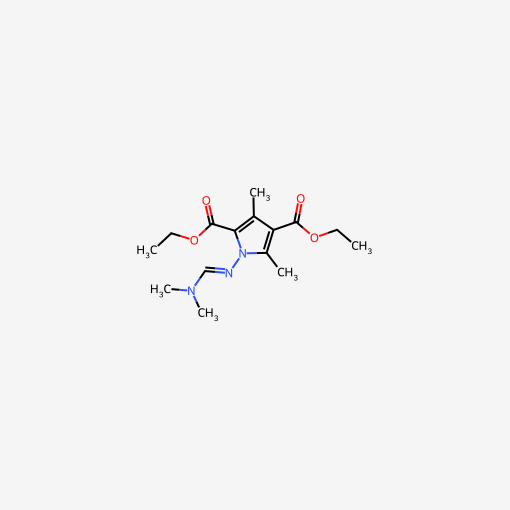 CCOC(=O)c1c(C)c(C(=O)OCC)n(N=CN(C)C)c1C